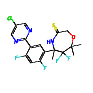 CC1(C)OCC(=S)NC(C)(c2cc(-c3ncc(Cl)cn3)c(F)cc2F)C1(F)F